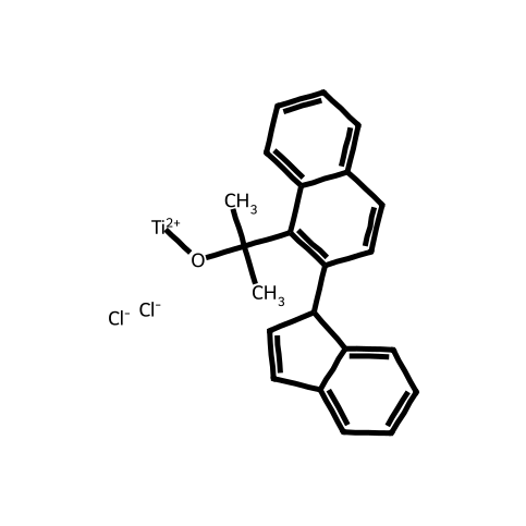 CC(C)([O][Ti+2])c1c(C2C=Cc3ccccc32)ccc2ccccc12.[Cl-].[Cl-]